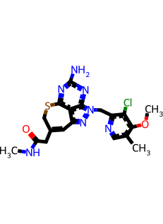 CNC(=O)CC1=Cc2nn(Cc3ncc(C)c(OC)c3Cl)c3nc(N)nc(c23)SC1